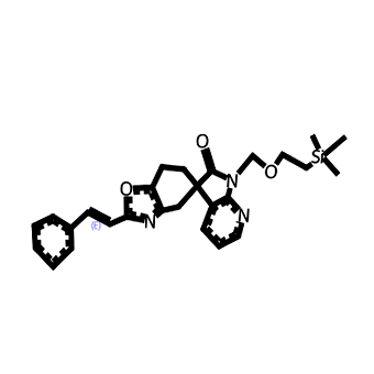 C[Si](C)(C)CCOCN1C(=O)C2(CCc3oc(/C=C/c4ccccc4)nc3C2)c2cccnc21